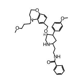 COCCCN1CCOc2ccc(CO[C@H]3CNC(CCNC(=O)c4ccccc4)CC3c3ccc(OC)cc3)cc21